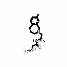 Cc1ccc2c(c1)CN(C[C@H](C)NC(=O)CNO)CCC2